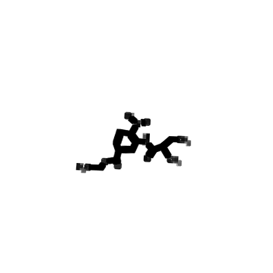 CCOC(=O)c1ccc([N+](=O)[O-])c(NC(=O)C(C)CC)c1